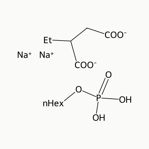 CCC(CC(=O)[O-])C(=O)[O-].CCCCCCOP(=O)(O)O.[Na+].[Na+]